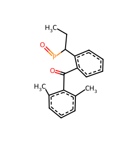 CCC(P=O)c1ccccc1C(=O)c1c(C)cccc1C